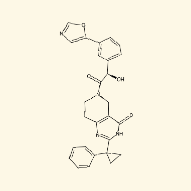 O=C([C@H](O)c1cccc(-c2cnco2)c1)N1CCc2nc(C3(c4ccccc4)CC3)[nH]c(=O)c2C1